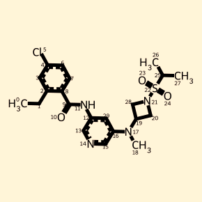 CCc1cc(Cl)ccc1C(=O)Nc1cncc(N(C)C2CN(S(=O)(=O)C(C)C)C2)c1